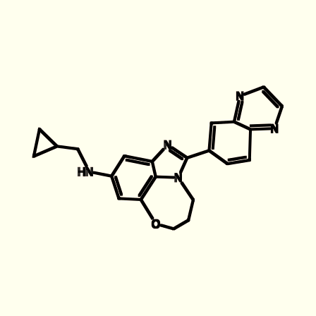 c1cnc2cc(-c3nc4cc(NCC5CC5)cc5c4n3CCCO5)ccc2n1